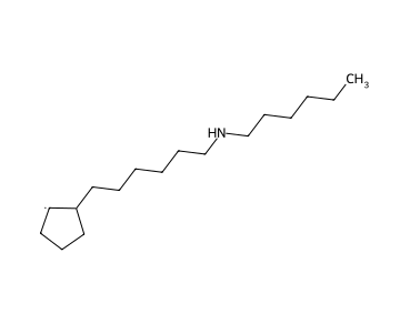 CCCCCCNCCCCCCC1[CH]CCC1